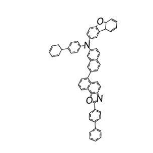 C1=CCC(c2ccc(N(c3ccc4c(c3)C3C=CC=CC3O4)c3ccc4ccc(-c5cccc6c5ccc5nc(-c7ccc(-c8ccccc8)cc7)oc56)cc4c3)cc2)C=C1